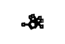 ClC1=[C][C]2CC1(Cl)C(Cl)(Cl)C2(Cl)Cl